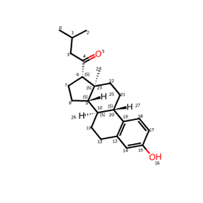 CC(C)CC(=O)[C@H]1CC[C@H]2[C@@H]3CCc4cc(O)ccc4[C@H]3CC[C@]12C